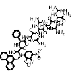 N=C(N)NC(NC(=O)C(NC(=N)N)NC(=O)C(NC(=N)N)NC(=O)C(NC(=N)N)NC(=O)C(NC(=O)C(O)N(Cc1cc2ccccc2c2ccccc12)c1ccc([N+](=O)[O-])c2nonc12)c1ccccc1)C(N)=O